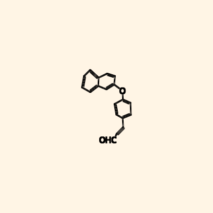 O=CC=Cc1ccc(Oc2ccc3ccccc3c2)cc1